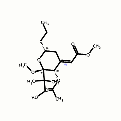 CCC[C@@H]1C/C(=C\C(=O)OC)[C@H](OC(C)=O)[C@](OC)(C(C)(C)CO)O1